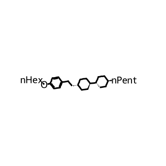 CCCCCCOc1ccc(CC[C@H]2CC[C@H]([C@H]3CC[C@H](CCCCC)CC3)CC2)cc1